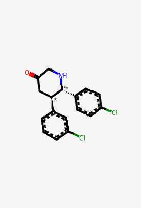 O=C1CN[C@H](c2ccc(Cl)cc2)[C@@H](c2cccc(Cl)c2)C1